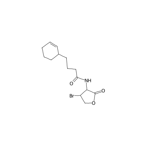 O=C(CCCC1C=CCCC1)NC1C(=O)OCC1Br